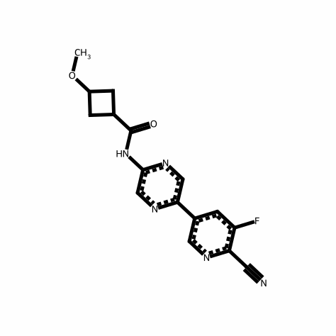 COC1CC(C(=O)Nc2cnc(-c3cnc(C#N)c(F)c3)cn2)C1